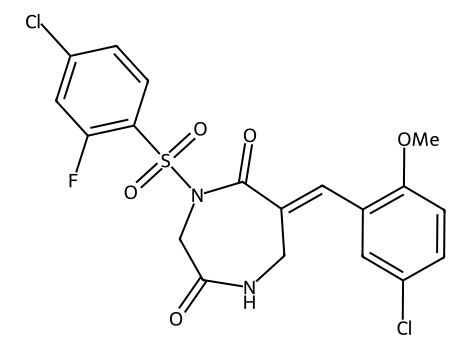 COc1ccc(Cl)cc1/C=C1\CNC(=O)CN(S(=O)(=O)c2ccc(Cl)cc2F)C1=O